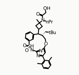 CCCN(C(=O)CO)C1(C)CC(C2c3cccc(c3)S(=O)(=O)Nc3nc(cc(-c4c(C)cccc4C)n3)OC[C@H]2CC(C)(C)C)C1